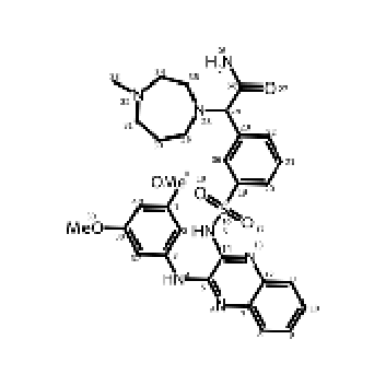 COc1cc(Nc2nc3ccccc3nc2NS(=O)(=O)c2cccc(C(C(N)=O)N3CCCN(C)CC3)c2)cc(OC)c1